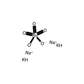 [KH].[KH].[Na+].[Na+].[O]=[Ru](=[O])(=[O])([O-])[O-]